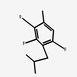 Cc1cc(F)c(CC(C)C)c(F)c1F